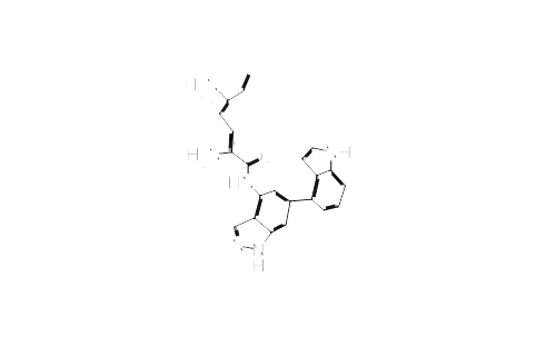 C=C/C(N)=C\C=C(/N)C(=O)Nc1cc(-c2cccc3[nH]ccc23)cc2[nH]ncc12